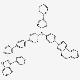 c1ccc(-c2ccc(N(c3ccc(-c4ccc(-c5cccc(-c6oc7ccccc7c6-c6ccccc6)c5)cc4)cc3)c3ccc(-c4ccc5c(ccc6ccccc65)c4)cc3)cc2)cc1